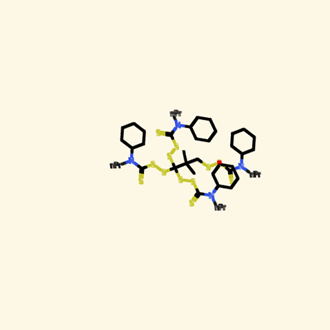 CCCN(C(=S)SSCC(C)(C)C(SSC(=S)N(CCC)C1CCCCC1)(SSC(=S)N(CCC)C1CCCCC1)SSC(=S)N(CCC)C1CCCCC1)C1CCCCC1